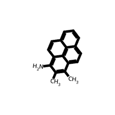 Cc1c(C)c2ccc3cccc4ccc(c1N)c2c34